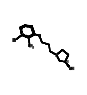 O[C@@H]1CCN(CCCOc2cccc(Br)c2C(F)(F)F)C1